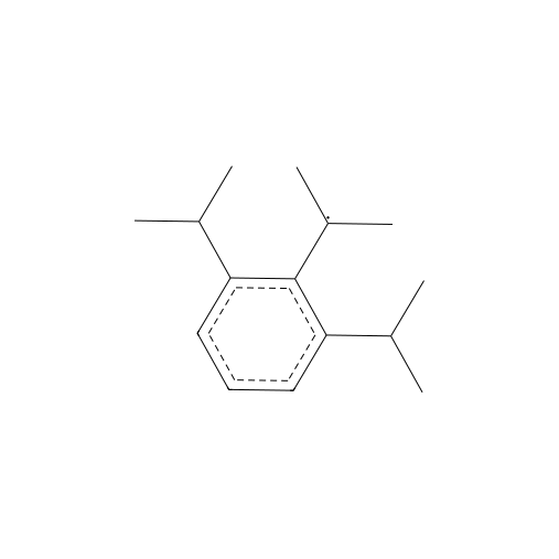 C[C](C)c1c(C(C)C)cccc1C(C)C